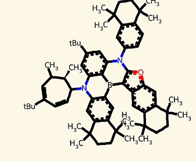 CC1C=C(C(C)(C)C)C=CC(N2c3cc4c(cc3B3c5c(cc(C(C)(C)C)cc52)N(c2ccc5c(c2)C(C)(C)CCC5(C)C)c2oc5cc6c(cc5c23)C(C)(C)CCC6(C)C)C(C)(C)CCC4(C)C)[C@@H]1C